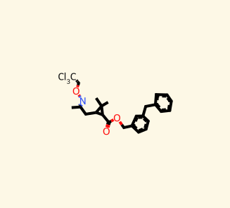 CC(CC1C(C(=O)OCc2cccc(Cc3ccccc3)c2)C1(C)C)=NOCC(Cl)(Cl)Cl